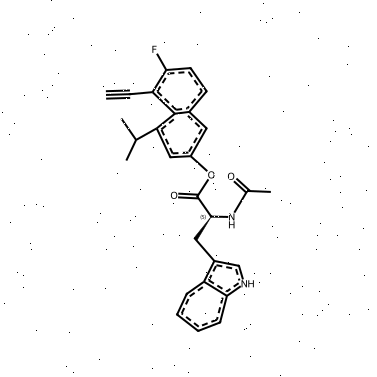 C#Cc1c(F)ccc2cc(OC(=O)[C@H](Cc3c[nH]c4ccccc34)NC(C)=O)cc(C(C)C)c12